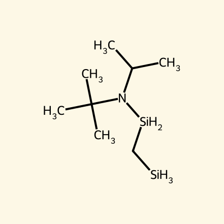 CC(C)N([SiH2]C[SiH3])C(C)(C)C